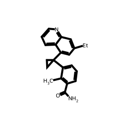 CCc1cc(C2(c3cccc(C(N)=O)c3C)CC2)c2cccnc2c1